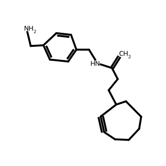 C=C(CCC1C#CCCCCC1)NCc1ccc(CN)cc1